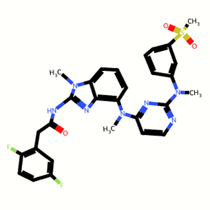 CN(c1cccc(S(C)(=O)=O)c1)c1nccc(N(C)c2cccc3c2nc(NC(=O)Cc2cc(F)ccc2F)n3C)n1